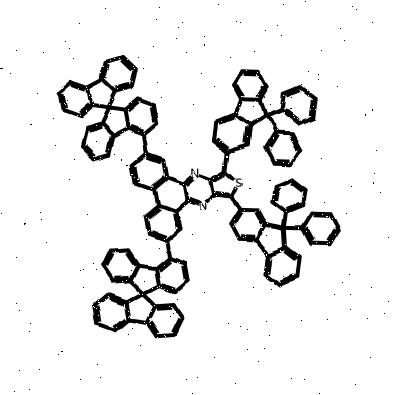 c1ccc(C2(c3ccccc3)c3ccccc3-c3ccc(-c4sc(-c5ccc6c(c5)C(c5ccccc5)(c5ccccc5)c5ccccc5-6)c5nc6c7cc(-c8cccc9c8-c8ccccc8C98c9ccccc9-c9ccccc98)ccc7c7ccc(-c8cccc9c8-c8ccccc8C98c9ccccc9-c9ccccc98)cc7c6nc45)cc32)cc1